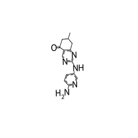 CC1CC(=O)c2cnc(Nc3ccc(N)nc3)nc2C1